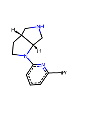 CC(C)c1cccc(N2CC[C@@H]3CNC[C@@H]32)n1